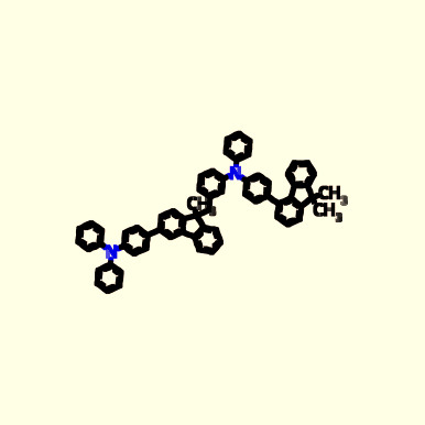 CC1(C)c2ccccc2-c2c(-c3ccc(N(c4ccccc4)c4cccc(CC5(C)c6ccccc6-c6cc(-c7ccc(N(c8ccccc8)c8ccccc8)cc7)ccc65)c4)cc3)cccc21